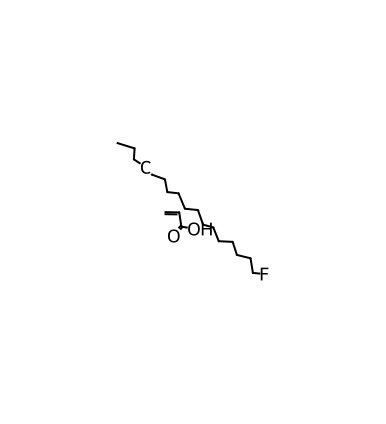 C=CC(=O)O.CCCCCCCCCCCCCCCCCF